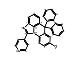 Clc1ccc2c(c1)C(c1ccccc1)(c1ccccc1)c1cccc3nc(-c4ccncc4)n-2c13